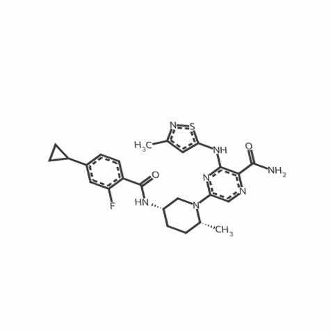 Cc1cc(Nc2nc(N3C[C@@H](NC(=O)c4ccc(C5CC5)cc4F)CC[C@H]3C)cnc2C(N)=O)sn1